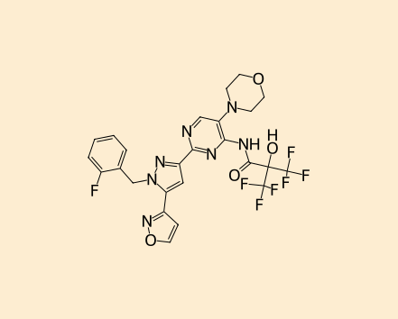 O=C(Nc1nc(-c2cc(-c3ccon3)n(Cc3ccccc3F)n2)ncc1N1CCOCC1)C(O)(C(F)(F)F)C(F)(F)F